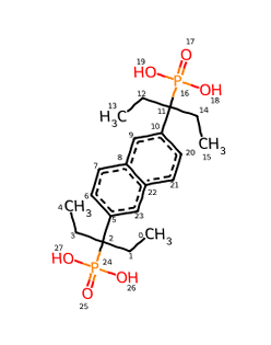 CCC(CC)(c1ccc2cc(C(CC)(CC)P(=O)(O)O)ccc2c1)P(=O)(O)O